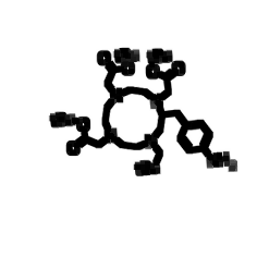 CC(C)(C)CN1CCN(CC(=O)OC(C)(C)C)CCN(CC(=O)OC(C)(C)C)CCN(CC(=O)OC(C)(C)C)C(Cc2ccc(N)cc2)C1